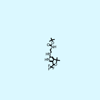 CC(C)(C)OC(=O)NCCNC1C=C(C(C)(C)C)C(C(=O)C(F)(F)F)=[C]N1